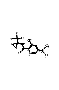 O=C(NC1(C(F)(F)F)CC1)c1ncc(B(O)O)cc1Cl